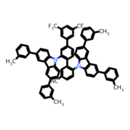 Cc1cccc(-c2ccc3c(c2)c2cc(-c4cccc(C)c4)ccc2n3-c2ccc(C#N)cc2-c2ccc(-c3cc(C(F)(F)F)cc(C(F)(F)F)c3)cc2-n2c3ccc(-c4cccc(C)c4)cc3c3cc(-c4cccc(C)c4)ccc32)c1